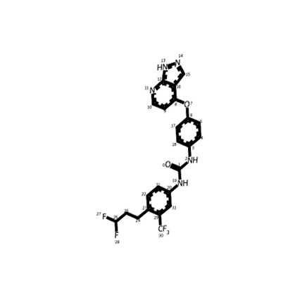 O=C(Nc1ccc(Oc2ccnc3[nH]ncc23)cc1)Nc1ccc(CCC(F)F)c(C(F)(F)F)c1